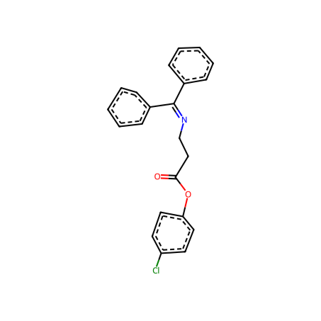 O=C(CCN=C(c1ccccc1)c1ccccc1)Oc1ccc(Cl)cc1